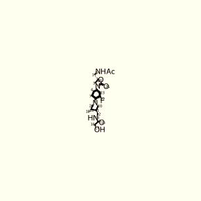 CC(=O)NC[C@H]1CN(c2ccc(N3C[C@@H](CNC(=O)CO)[C@H](C)C3)c(F)c2)C(=O)O1